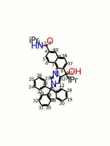 CC(C)NC(=O)c1ccc2cc(C(O)(c3cn(C(c4ccccc4)(c4ccccc4)c4ccccc4)cn3)C(C)C)ccc2c1